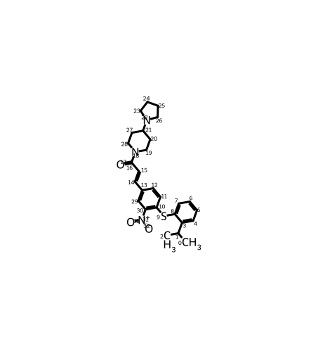 CC(C)c1ccccc1Sc1ccc(C=CC(=O)N2CCC(N3CCCC3)CC2)cc1[N+](=O)[O-]